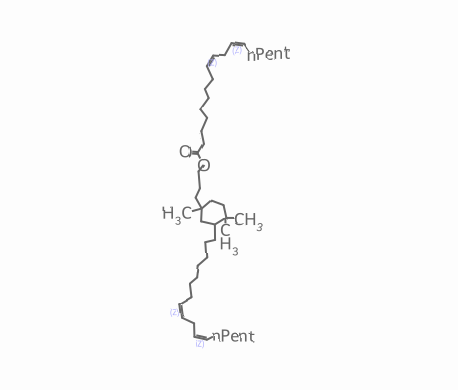 CCCCC/C=C\C/C=C\CCCCCCCC(=O)OCCCC1(C)CCC(C)(C)C(CCCCCCC/C=C\C/C=C\CCCCC)C1